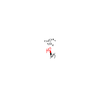 C.C.C.O[SiH3]